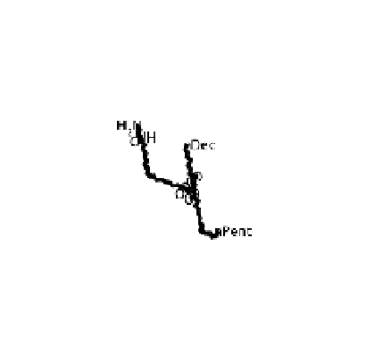 CCCCC/C=C\C/C=C\CCCCCCCC(=O)OC(COC(=O)CCCCCCC/C=C\CCCCCCCC(=O)NCCN)COC(=O)CCCCCCCCCCCCCCCCC